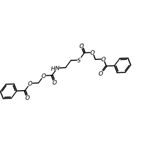 O=C(NCCSC(=O)OCOC(=O)c1ccccc1)OCOC(=O)c1ccccc1